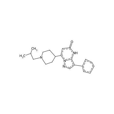 C[C](C)CN1CCC(c2cc(=O)[nH]c3c(-c4ccccc4)cnn23)CC1